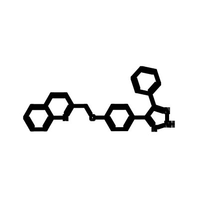 c1ccc(-c2n[nH]nc2-c2ccc(OCc3ccc4ccccc4n3)cc2)cc1